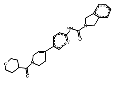 O=C(Nc1ccc(C2=CCN(C(=O)C3CCOCC3)CC2)cn1)N1Cc2ccccc2C1